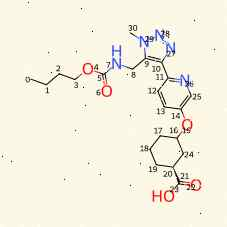 CCCCOC(=O)NCc1c(-c2ccc(OC3CCC[C@H](C(=O)O)C3)cn2)nnn1C